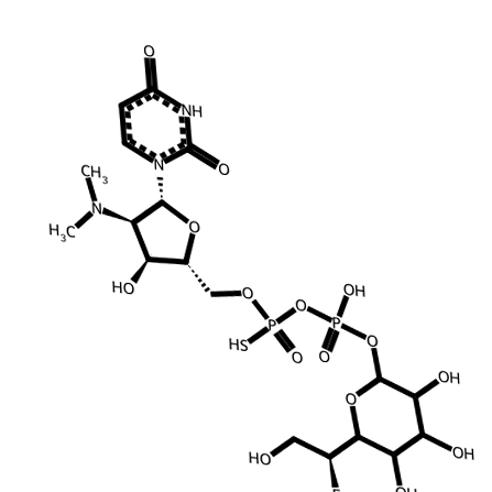 CN(C)[C@@H]1[C@H](O)[C@@H](COP(=O)(S)OP(=O)(O)OC2OC([C@@H](F)CO)C(O)C(O)C2O)O[C@H]1n1ccc(=O)[nH]c1=O